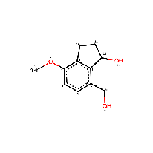 CCCOc1ccc(CO)c2c1CCC2O